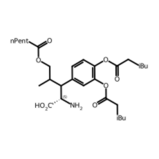 CCCCCC(=O)OCC(C)C(c1ccc(OC(=O)CC(C)CC)c(OC(=O)CC(C)CC)c1)[C@H](N)C(=O)O